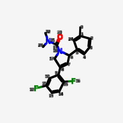 Cc1cccc(C2C=C(c3cc(F)ccc3F)CN2C(=O)N(C)C)c1